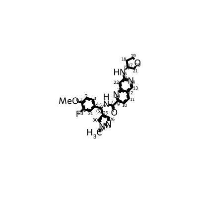 COc1ccc([C@H](NC(=O)c2ccc3cnc(N[C@H]4CCOC4)cc3n2)c2cnn(C)c2)cc1F